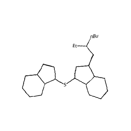 CCCCC(CC)CC1CC(SC2CCC3CCCCC32)C2CCCCC12